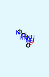 COc1ccccc1CNC(=N)Nc1nc(-c2cccnc2)cs1